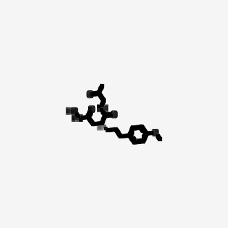 COc1ccc(CCC[C@H](CC(=O)NO)C(=O)NCC(C)=O)cc1